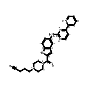 N#CCCCN1CCN(C(=O)c2cc3cc(Nc4nccc(-c5ccccn5)n4)ccc3[nH]2)CC1